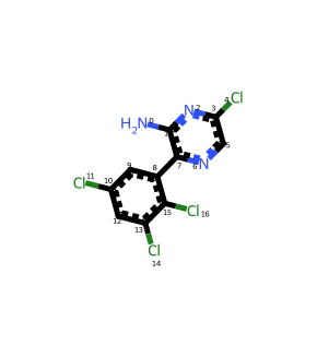 Nc1nc(Cl)cnc1-c1cc(Cl)cc(Cl)c1Cl